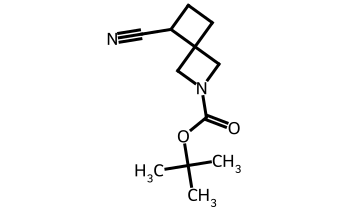 CC(C)(C)OC(=O)N1CC2(CCC2C#N)C1